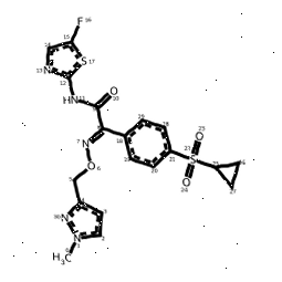 Cn1ccc(CO/N=C(/C(=O)Nc2ncc(F)s2)c2ccc(S(=O)(=O)C3CC3)cc2)n1